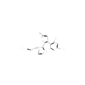 C=CCn1ccnc1-c1sc(I)cc1-c1ccc(Cl)cc1Cl